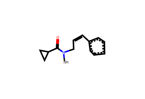 CCCN(C/C=C\c1ccccc1)C(=O)C1CC1